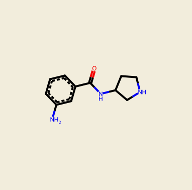 Nc1cccc(C(=O)NC2CCNC2)c1